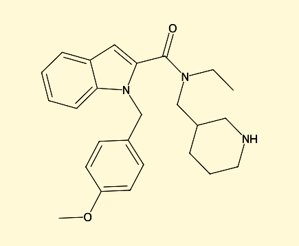 CCN(CC1CCCNC1)C(=O)c1cc2ccccc2n1Cc1ccc(OC)cc1